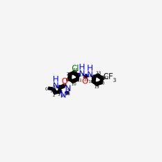 Cc1cc2ncnc(Oc3ccc(NC(=O)Nc4cccc(C(F)(F)F)c4)c(Cl)c3)c2[nH]1